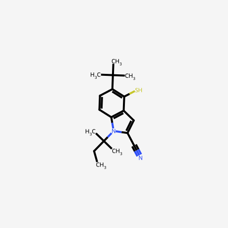 CCC(C)(C)n1c(C#N)cc2c(S)c(C(C)(C)C)ccc21